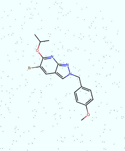 COc1ccc(Cn2cc3cc(Br)c(OC(C)C)nc3n2)cc1